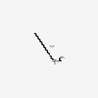 CCCCCCCCCCCCCCCCSCCCO[PH](=O)OOC(C)CN.O